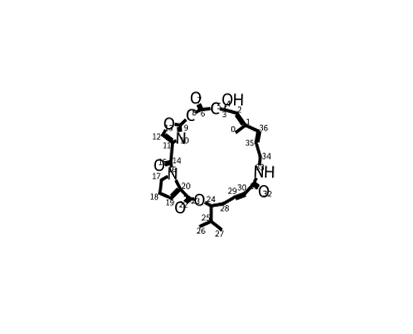 CC1=C\[C@@H](O)CC(=O)Cc2nc(co2)C(=O)N2CCC=C2C(=O)OC(C(C)C)C/C=C/C(=O)NC\C=C\1